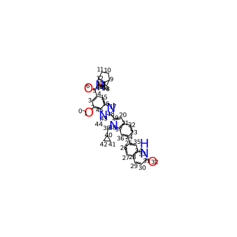 COc1cc(C(=O)N2CC3CCC2[C@@H]3C)cc2nc(-c3cc4ccc(-c5ccc6ccc(=O)[nH]c6c5)cc4n3CC3CC3)n(C)c12